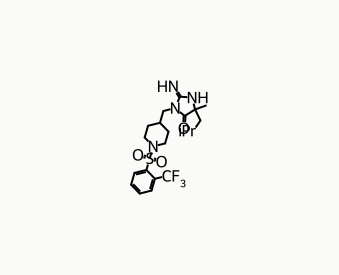 CC(C)CC1(C)NC(=N)N(CC2CCN(S(=O)(=O)c3ccccc3C(F)(F)F)CC2)C1=O